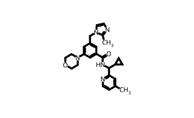 Cc1ccnc(C(NC(=O)c2cc(Cn3ccnc3C)cc(N3CCOCC3)c2)C2CC2)c1